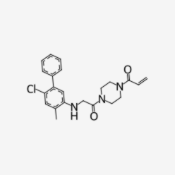 C=CC(=O)N1CCN(C(=O)CNc2cc(-c3ccccc3)c(Cl)cc2C)CC1